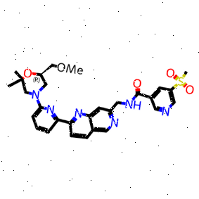 COC[C@H]1CN(c2cccc(-c3ccc4cnc(CNC(=O)c5cncc(S(C)(=O)=O)c5)cc4n3)n2)CC(C)(C)O1